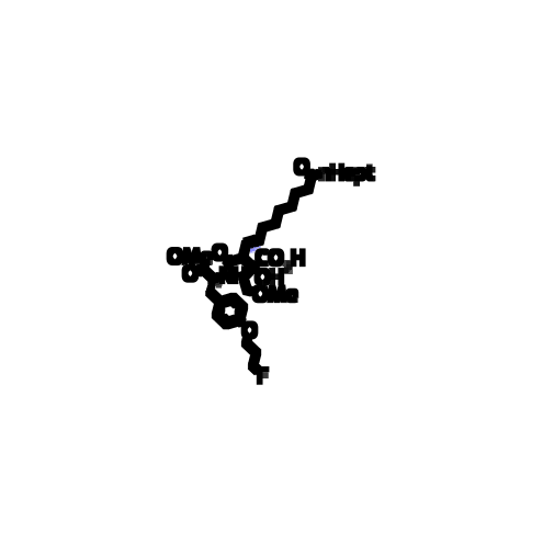 CCCCCCCC(=O)CCCCCC/C=C/C(C(=O)N[C@@H](Cc1ccc(OCCCF)cc1)C(=O)OC)C(O)(CCOC)C(=O)O